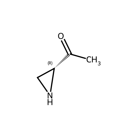 CC(=O)[C@H]1CN1